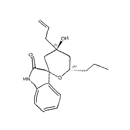 C=CC[C@]1(O)C[C@H](CCC)OC2(C1)C(=O)Nc1ccccc12